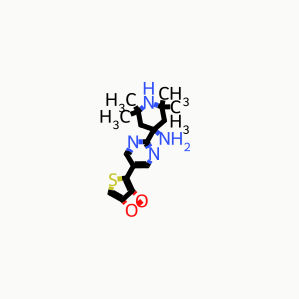 CC1(C)CC(N)(c2ncc(-c3scc4ooc34)cn2)CC(C)(C)N1